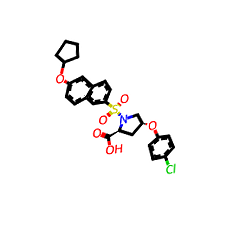 O=C(O)[C@@H]1C[C@@H](Oc2ccc(Cl)cc2)CN1S(=O)(=O)c1ccc2cc(OC3CCCC3)ccc2c1